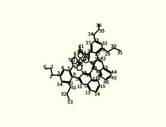 CCCc1cc(CCC)c(-c2cc3ccccc3c3c2OP(=O)(O)Oc2c(-c4c(CCC)cc(CCC)cc4CCC)cc4ccccc4c2-3)c(CCC)c1